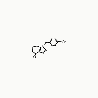 CC(C)c1ccc(Cn2ccc3c2CCCC3=O)cc1